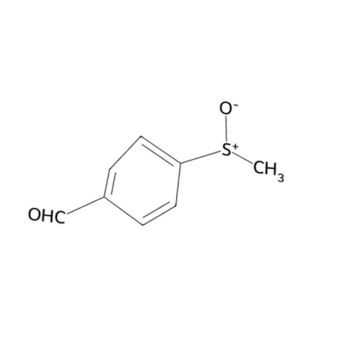 C[S+]([O-])c1ccc(C=O)cc1